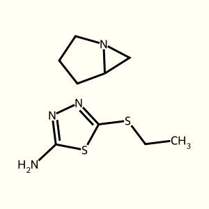 C1CC2CN2C1.CCSc1nnc(N)s1